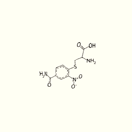 NC(=O)c1ccc(SCC(N)C(=O)O)c([N+](=O)[O-])c1